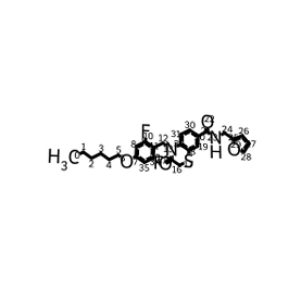 CCCCCCOc1cc(F)c(CN2C(=O)CSc3cc(C(=O)NCc4ccco4)ccc32)c(F)c1